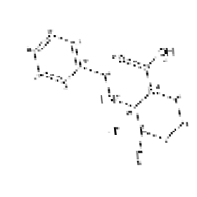 O=C(O)N1CCCC(F)(F)C1NCc1ccccc1